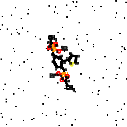 CCO[PH]1(Cc2ccc(C[PH]3(OCC)OC(C)O3)c(-c3cccs3)c2)OC(C)O1